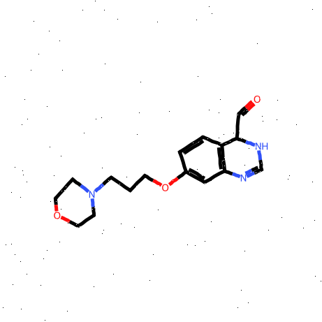 O=CC1NC=Nc2cc(OCCCN3CCOCC3)ccc21